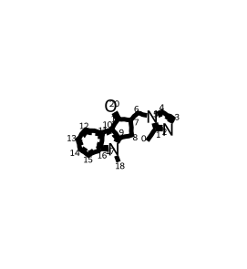 Cc1nccn1CC1Cc2c(c3ccccc3n2C)C1=O